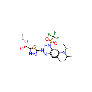 CCOC(=O)c1nnc(N=Nc2cc3c(cc2NS(=O)(=O)C(F)(F)F)N(C(C)C)C(C)CC3)s1